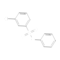 O=S(=O)(Oc1ccccc1)c1cccc(Cl)c1